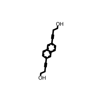 OCCC#Cc1ccc2cc(C#CCCO)ccc2c1